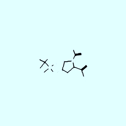 CC(C)(C)[Si](C)(C)O[C@H]1CC(C(=O)O)N(C(=O)O)C1